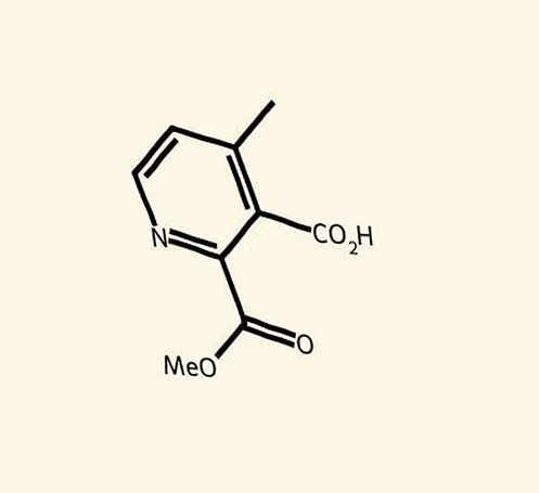 COC(=O)c1nccc(C)c1C(=O)O